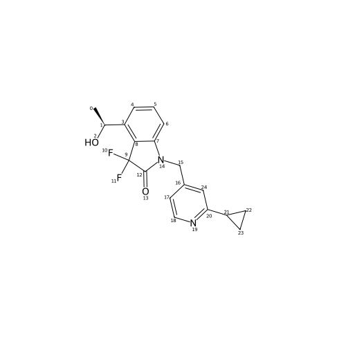 C[C@H](O)c1cccc2c1C(F)(F)C(=O)N2Cc1ccnc(C2CC2)c1